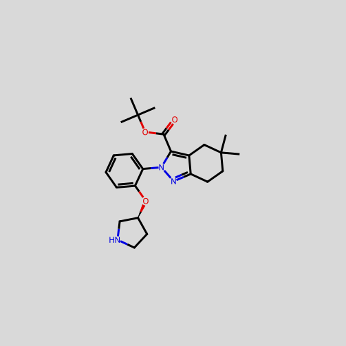 CC1(C)CCc2nn(-c3ccccc3O[C@H]3CCNC3)c(C(=O)OC(C)(C)C)c2C1